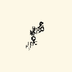 O=C(NCC(F)(F)F)c1ccc(-n2nnc(C(=O)NCCc3cccs3)c2COCc2ccccc2)cc1